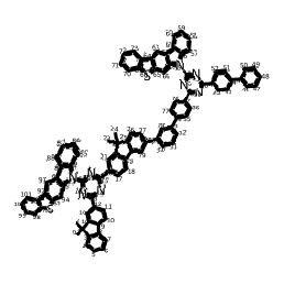 CC1(C)c2ccccc2-c2ccc(-c3nc(-c4ccc5c(c4)C(C)(C)c4ccc(-c6cccc(-c7ccc(-c8nc(-c9ccc(-c%10ccccc%10)cc9)nc(-n9c%10ccccc%10c%10cc%11c(cc%109)sc9ccccc9%11)n8)cc7)c6)cc4-5)nc(-n4c5ccccc5c5cc6c(cc54)sc4ccccc46)n3)cc21